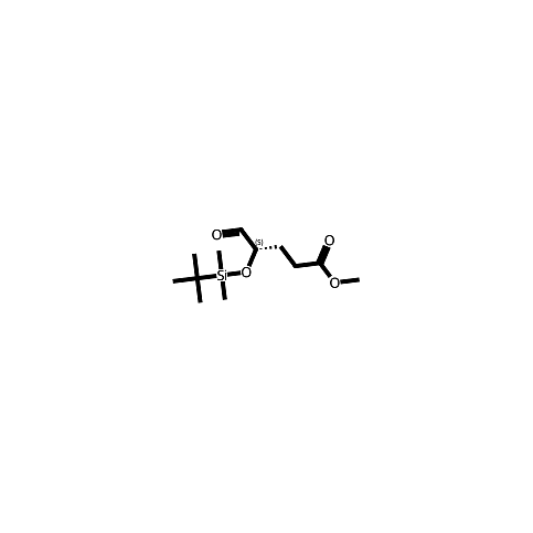 COC(=O)CC[C@@H](C=O)O[Si](C)(C)C(C)(C)C